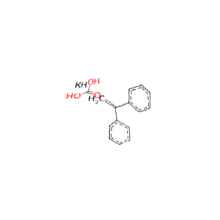 C=C(c1ccccc1)c1ccccc1.O=C(O)O.[KH]